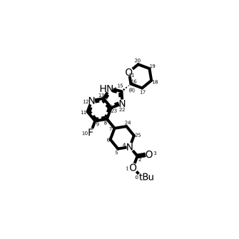 CC(C)(C)OC(=O)N1CCC(c2c(F)cnc3[nH]c([C@H]4CCCCO4)nc23)CC1